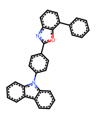 c1ccc(-c2cccc3nc(-c4ccc(-n5c6ccccc6c6ccccc65)cc4)oc23)cc1